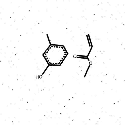 C=CC(=O)OC.Cc1cccc(O)c1